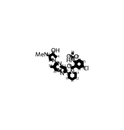 CN[C@@H]1CN(c2nc3cc([C@@H]4CCCCN4C(=O)c4cc(Cl)ccc4NS(C)(=O)=O)nn3cc2C)C[C@H]1O